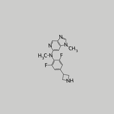 CN(c1cc2c(cn1)ncn2C)c1c(F)cc(C2CNC2)cc1F